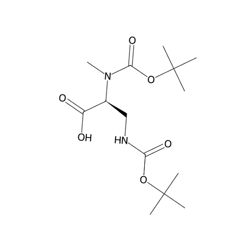 CN(C(=O)OC(C)(C)C)[C@@H](CNC(=O)OC(C)(C)C)C(=O)O